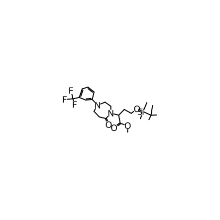 COC(=O)C(CCO[Si](C)(C)C(C)(C)C)N1CCN(c2cccc(C(F)(F)F)c2)CCC1=O